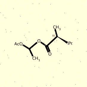 CC(=O)OC(C)OC(=O)[C@@H](C)C(C)C